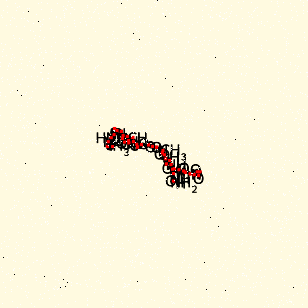 Cc1c(-c2ccc(N3CCc4cccc(C(=O)Nc5nc6ccccc6s5)c4C3)nc2C(=O)O)cnn1CC1(C)CCC(OCCOCCOCCN(C)C(=O)OCc2ccc(NC(=O)C(CCCNC(N)=O)NC(=O)CNC(=O)CCCCCN3C(=O)C=CC3=O)cc2)C1